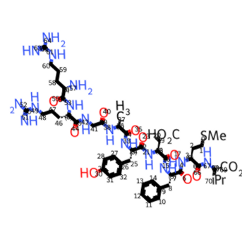 CSCC[C@H](NC(=O)[C@H](Cc1ccccc1)NC(=O)[C@H](CC(=O)O)NC(=O)[C@H](Cc1ccc(O)cc1)NC(=O)[C@H](C)NC(=O)CNC(=O)[C@H](CCCNC(=N)N)NC(=O)[C@@H](N)CCCNC(=N)N)C(=O)N[C@H](C(=O)O)C(C)C